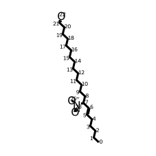 CCCCC/C=C/C(CCCCCCCCCCCCCC=O)[N+](=O)[O-]